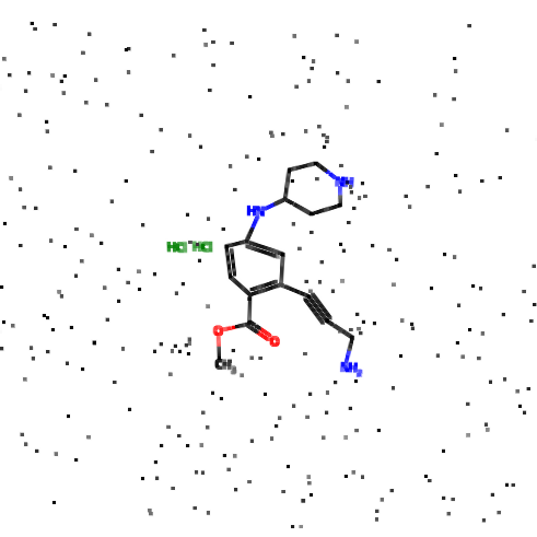 COC(=O)c1ccc(NC2CCNCC2)cc1C#CCN.Cl.Cl